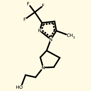 Cc1cc(C(F)(F)F)nn1C1CCN(CCO)C1